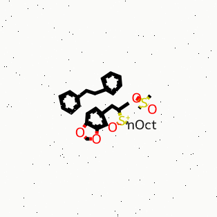 CCCCCCCC[S+]([O-])C(C)Cc1ccc2c(c1)OCO2.CS(C)(=O)=O.c1ccc(CCc2ccccc2)cc1